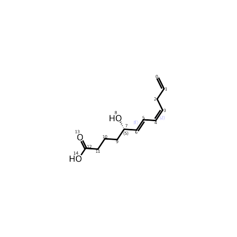 C=CC/C=C\C=C\[C@@H](O)CCCC(=O)O